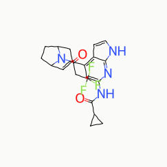 O=C(Nc1cc(C2=CC3CCC(C2)N3C(=O)CC(F)(F)F)c2cc[nH]c2n1)C1CC1